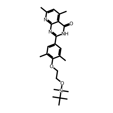 Cc1cc(C)c2c(=O)[nH]c(-c3cc(C)c(OCCO[Si](C)(C)C(C)(C)C)c(C)c3)nc2n1